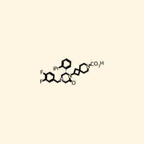 CC(C)c1ccccc1[C@H]1CN(Cc2ccc(F)c(F)c2)CC(=O)N1C1CC2(CCN(C(=O)O)CC2)C1